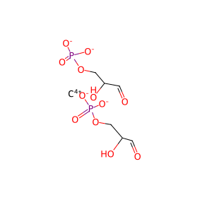 O=CC(O)COP(=O)([O-])[O-].O=CC(O)COP(=O)([O-])[O-].[C+4]